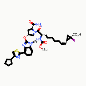 CC(C)n1c(O[C@@H]2C[C@@H](C(N)=O)N(C(=O)[C@H](CCCCC/C=C\[C@@H]3C[C@]3(I)C(=O)O)NC(=O)OC(C)(C)C)C2)nc2c(-c3nc(C4CCCC4)cs3)cccc21